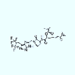 CN(C)C(=O)/C=C/CCC(OC(=O)N(C)C)C(=O)Nc1cccn(Cc2nc3c(CC(C(F)(F)F)C(F)(F)F)ncnc3[nH]2)c1=O